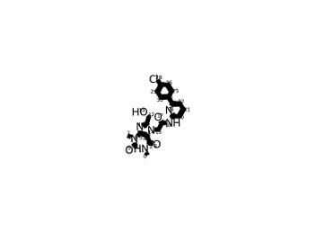 CNC(=O)c1c(N(C)C=O)nc(CO)n1CC(=O)Nc1cccc(-c2ccc(Cl)cc2)n1